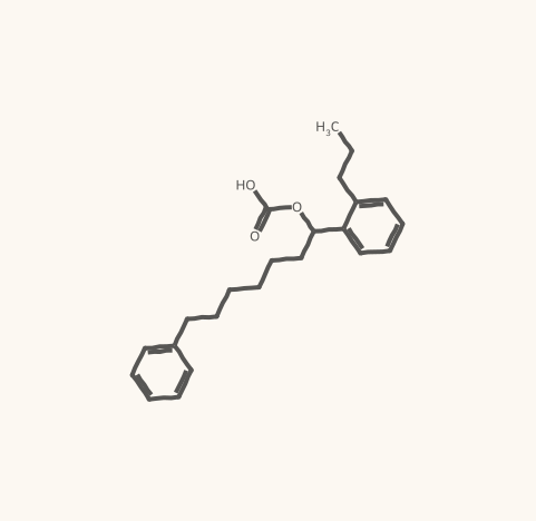 CCCc1ccccc1C(CCCCCCc1ccccc1)OC(=O)O